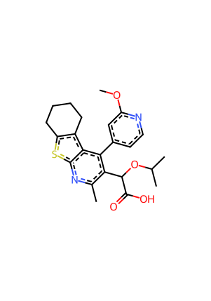 COc1cc(-c2c(C(OC(C)C)C(=O)O)c(C)nc3sc4c(c23)CCCC4)ccn1